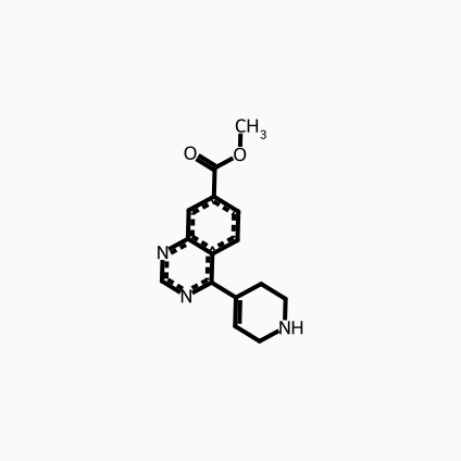 COC(=O)c1ccc2c(C3=CCNCC3)ncnc2c1